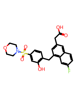 O=C(O)Cc1cc(Cc2ccc(S(=O)(=O)N3CCOCC3)cc2O)c2cc(F)ccc2c1